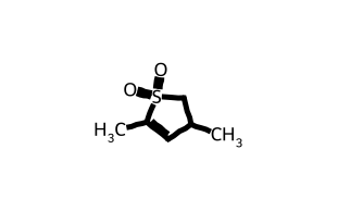 CC1=CC(C)CS1(=O)=O